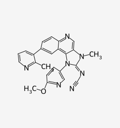 COc1ccc(-n2c(=NC#N)n(C)c3cnc4ccc(-c5cccnc5C)cc4c32)cn1